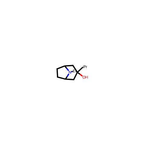 CCN1C2CCC1CC(O)(C(C)C)C2